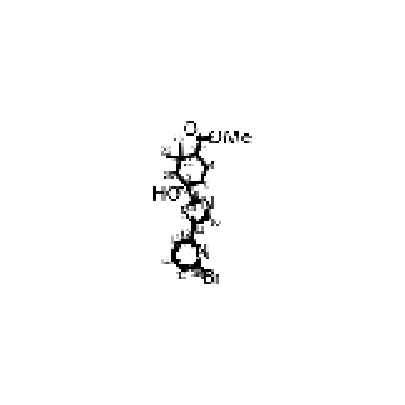 COC(=O)C1CC[C@@](O)(c2ncc(-c3cccc(Br)n3)s2)CC1(C)C